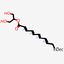 CCCCCCCCCCC/C=C/C=C/C=C/C=C/C(=O)OC(CO)CO